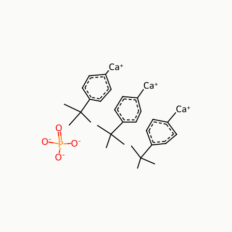 CC(C)(C)c1cc[c]([Ca+])cc1.CC(C)(C)c1cc[c]([Ca+])cc1.CC(C)(C)c1cc[c]([Ca+])cc1.O=P([O-])([O-])[O-]